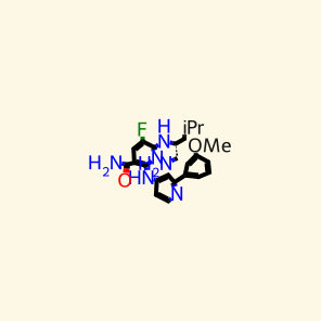 COc1cccc(-c2cc(Nc3nc(N[C@@H](CN)CC(C)C)c(F)cc3C(N)=O)ccn2)c1